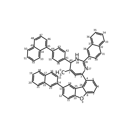 CC1=C=C(c2cccc3oc4ccc(-c5ccc6ccccc6c5)cc4c23)N=C(c2ccc3ccccc3c2)NC1c1ccc(-c2cccc3ccccc23)cc1